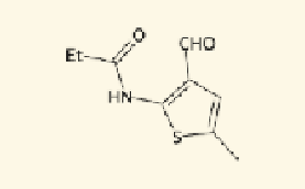 CCC(=O)Nc1sc(C)cc1C=O